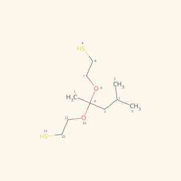 CC(C)CC(C)(OCCS)OCCS